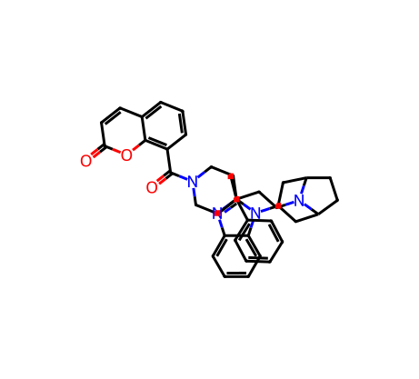 Cc1nc2ccccc2n1C1CC2CCC(C1)N2CCC1(c2ccccc2)CCN(C(=O)c2cccc3ccc(=O)oc23)CC1